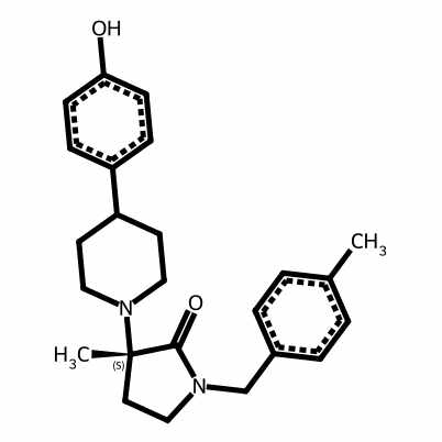 Cc1ccc(CN2CC[C@](C)(N3CCC(c4ccc(O)cc4)CC3)C2=O)cc1